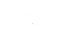 CC(C)NS